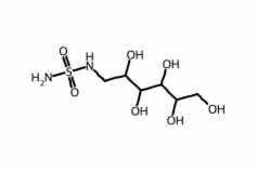 NS(=O)(=O)NCC(O)C(O)C(O)C(O)CO